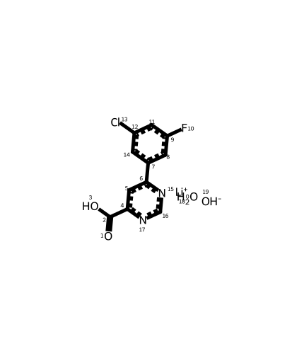 O.O=C(O)c1cc(-c2cc(F)cc(Cl)c2)ncn1.[Li+].[OH-]